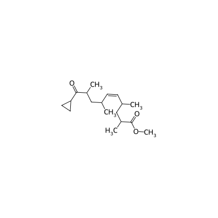 COC(=O)C(C)CC(C)/C=C\C(C)CC(C)C(=O)C1CC1